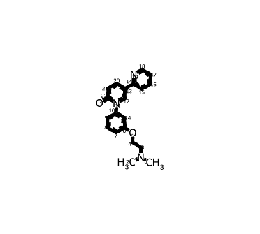 CN(C)CCOc1cccc(-n2cc(-c3ccccn3)ccc2=O)c1